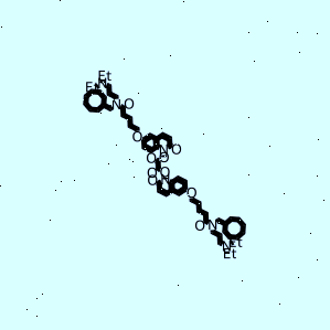 CCN(CC)CCCN(CC1CCCCCCC1)C(=O)CCCCOc1ccc2c(ccc(=O)n2OC(=O)C(=O)On2c(=O)ccc3cc(OCCCCC(=O)N(CCCN(CC)CC)CC4CCCCCCC4)ccc32)c1